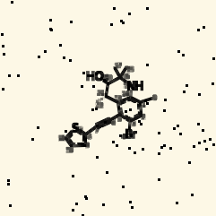 Cc1cc(Br)c(C#Cc2cccs2)c2c1NC(C)(C)[C@H](O)[C@H]2C